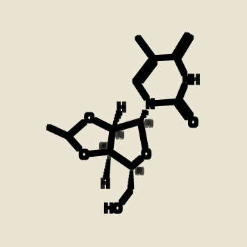 C=C1NC(=O)N([C@@H]2O[C@H](CO)[C@H]3OC(C)O[C@H]32)C=C1C